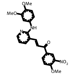 COc1ccc(Nc2ncccc2C=CC(=O)c2ccc(OC)c([N+](=O)[O-])c2)cc1OC